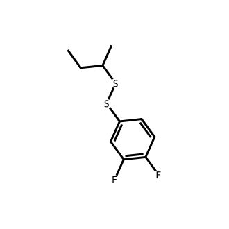 CCC(C)SSc1ccc(F)c(F)c1